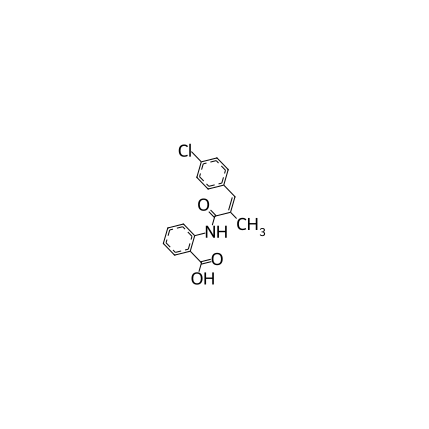 CC(=Cc1ccc(Cl)cc1)C(=O)Nc1ccccc1C(=O)O